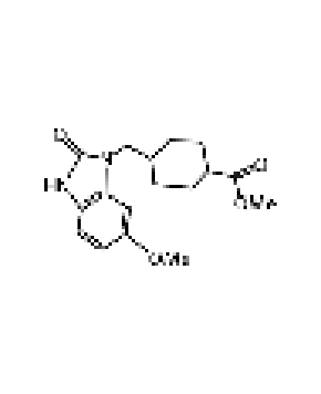 COC(=O)C1CCC(Cn2c(=O)[nH]c3ccc(OC)cc32)CC1